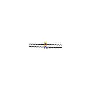 CCCCCCCCCCCCCCCCCCCCN(CCCCCCCCCCCCCCCCCCCC)C(=S)[S-].CCCCCCCCCCCCCCCCCCCCN(CCCCCCCCCCCCCCCCCCCC)C(=S)[S-].[Cu+2]